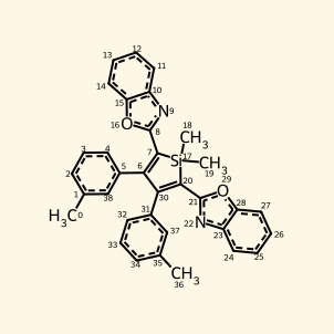 Cc1cccc(C2=C(c3nc4ccccc4o3)[Si](C)(C)C(c3nc4ccccc4o3)=C2c2cccc(C)c2)c1